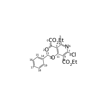 CCOC(=O)C(=O)c1c(C)nc(Cl)c(C(=O)OCC)c1OCc1ccccc1